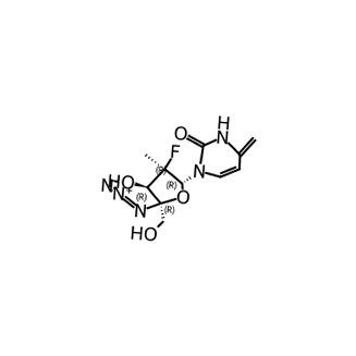 C=C1C=CN([C@@H]2O[C@@](CO)(N=[N+]=[N-])[C@@H](O)[C@@]2(C)F)C(=O)N1